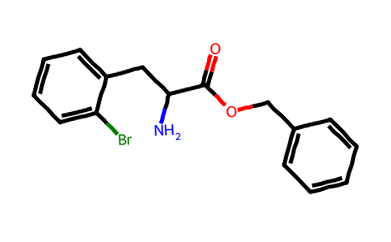 NC(Cc1ccccc1Br)C(=O)OCc1ccccc1